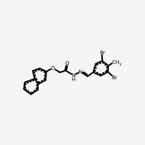 Cc1c(Br)cc(/C=N/NC(=O)COc2ccc3ccccc3c2)cc1Br